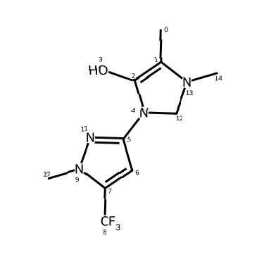 CC1=C(O)N(c2cc(C(F)(F)F)n(C)n2)CN1C